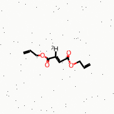 [2H]/C(=C\C(=O)OCC=C)C(=O)OCC=C